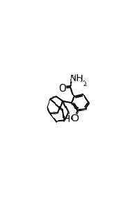 NC(=O)c1cccc(O)c1C12CC3CC(CC(C3)C1)C2